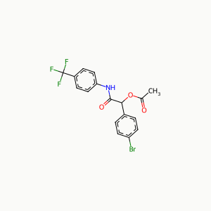 CC(=O)OC(C(=O)Nc1ccc(C(F)(F)F)cc1)c1ccc(Br)cc1